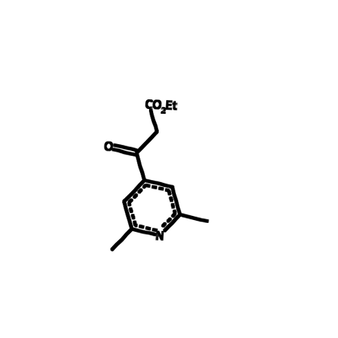 CCOC(=O)CC(=O)c1cc(C)nc(C)c1